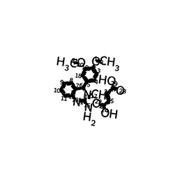 COc1ccc(C2c3ccccc3N=C(N)N2C)cc1OC.O=C(O)C=CC(=O)O